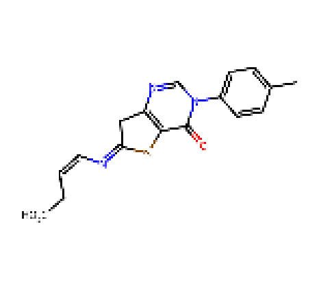 Cc1ccc(-n2cnc3c(c2=O)S/C(=N/C=C\CC(=O)O)C3)cc1